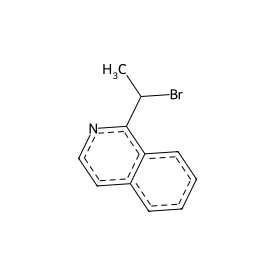 CC(Br)c1nccc2ccccc12